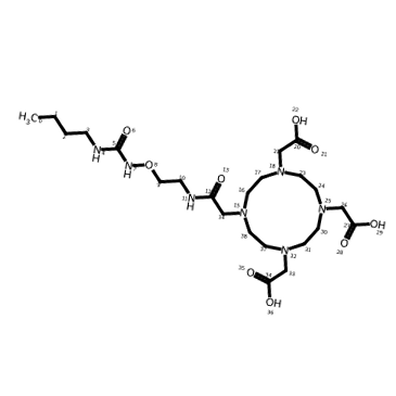 CCCCNC(=O)NOCCNC(=O)CN1CCN(CC(=O)O)CCN(CC(=O)O)CCN(CC(=O)O)CC1